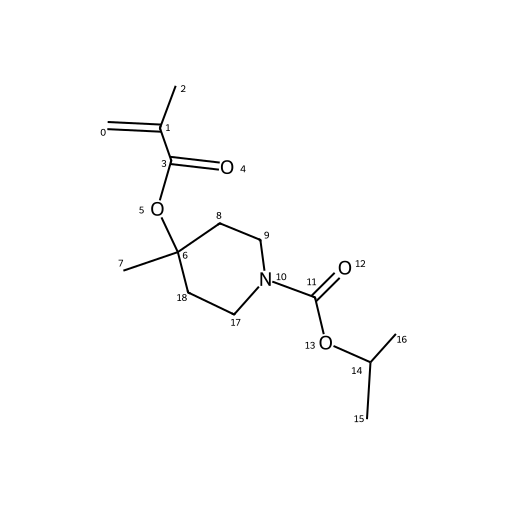 C=C(C)C(=O)OC1(C)CCN(C(=O)OC(C)C)CC1